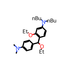 CCCCN(CCCC)c1ccc(C(OCC)c2ccc(N(C)C)cc2)c(OCC)c1